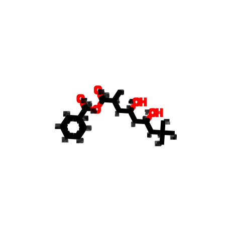 CC(CC(O)CC(O)CC(C)(C)C)C(=O)OC(=O)c1ccccc1